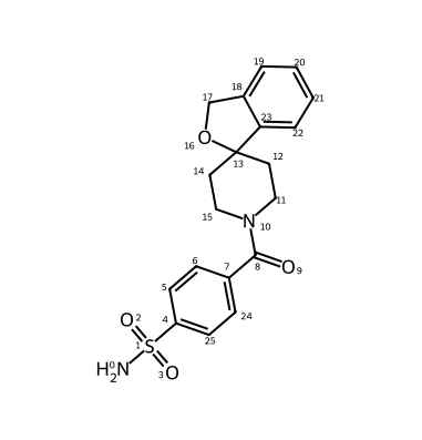 NS(=O)(=O)c1ccc(C(=O)N2CCC3(CC2)OCc2ccccc23)cc1